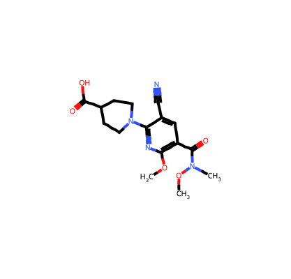 COc1nc(N2CCC(C(=O)O)CC2)c(C#N)cc1C(=O)N(C)OC